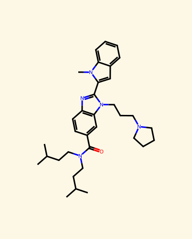 CC(C)CCN(CCC(C)C)C(=O)c1ccc2nc(-c3cc4ccccc4n3C)n(CCCN3CCCC3)c2c1